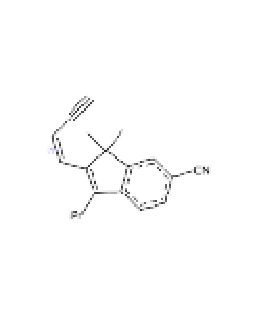 C#C/C=C\C1=C(C(C)C)c2ccc(C#N)cc2C1(C)C